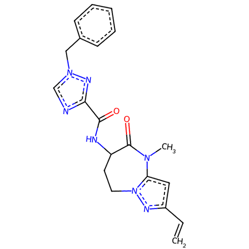 C=Cc1cc2n(n1)CCC(NC(=O)c1ncn(Cc3ccccc3)n1)C(=O)N2C